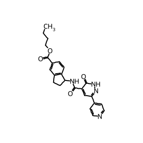 CCCCOC(=O)c1ccc2c(c1)CCC2NC(=O)c1cc(-c2ccncc2)n[nH]c1=O